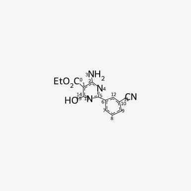 CCOC(=O)c1c(N)nc(-c2cccc(C#N)c2)nc1O